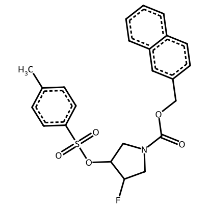 Cc1ccc(S(=O)(=O)OC2CN(C(=O)OCc3ccc4ccccc4c3)CC2F)cc1